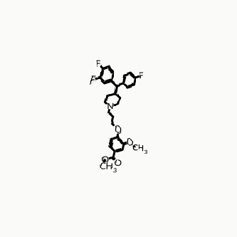 COC(=O)c1ccc(OCCCN2CCC(C(c3ccc(F)cc3)c3ccc(F)c(F)c3)CC2)c(OC)c1